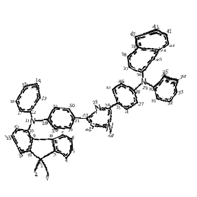 CC1(C)c2ccccc2-c2c(N(c3ccccc3)c3ccc(-c4nc(-c5ccc(N(c6ccccc6)c6ccc7ccccc7c6)cc5)ns4)cc3)cccc21